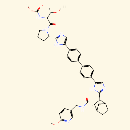 COC(=O)N[C@H](C(=O)N1CCC[C@H]1c1ncc(-c2ccc(-c3ccc(-c4cnc(C5C6CCC(C6)[C@@H]5C(=O)NCc5ccc(OC)nc5)[nH]4)cc3)cc2)[nH]1)[C@@H](C)OC